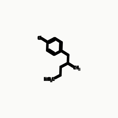 CCOC(=O)CCC(C)Cc1ccc(Cl)cc1